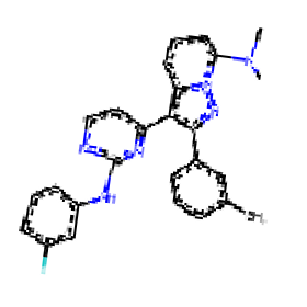 Bc1cccc(-c2nn3c(N(C)C)cccc3c2-c2ccnc(Nc3cccc(F)c3)n2)c1